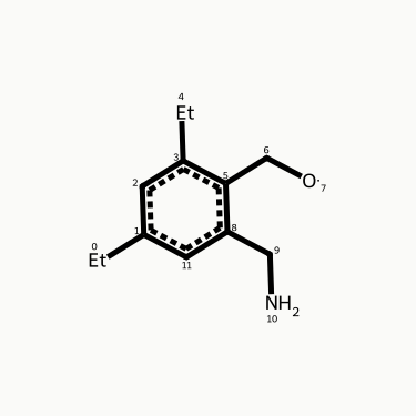 CCc1cc(CC)c(C[O])c(CN)c1